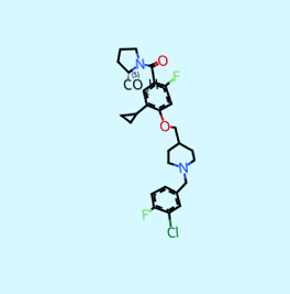 O=C(O)[C@@H]1CCCN1C(=O)c1cc(C2CC2)c(OCC2CCN(Cc3ccc(F)c(Cl)c3)CC2)cc1F